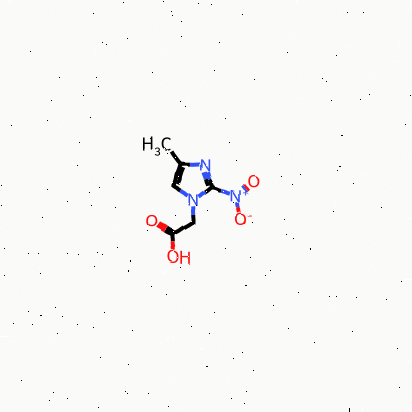 Cc1cn(CC(=O)O)c([N+](=O)[O-])n1